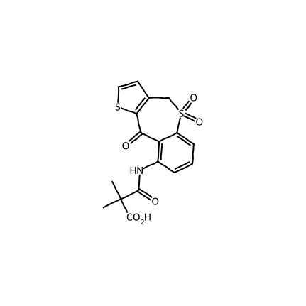 CC(C)(C(=O)O)C(=O)Nc1cccc2c1C(=O)c1sccc1CS2(=O)=O